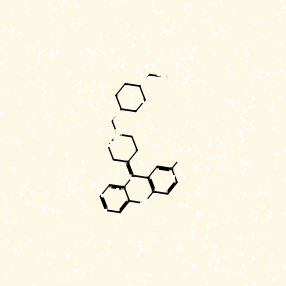 OC[C@H]1CC[C@@H](CN2CCC(=C3c4ccccc4Sc4ccc(Cl)cc43)CC2)CC1